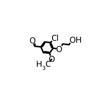 COc1cc(C=O)cc(Cl)c1OCCO